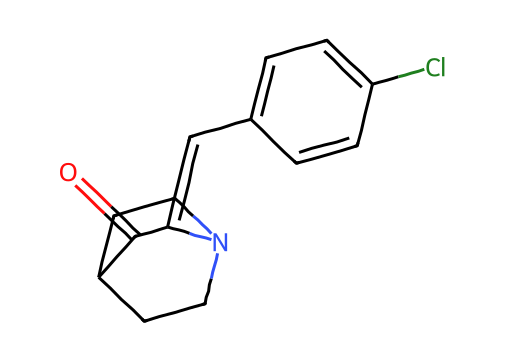 O=C1C(=Cc2ccc(Cl)cc2)N2CCC1CC2